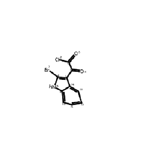 O=C(Cl)C(=O)c1c(Br)[nH]c2ccccc12